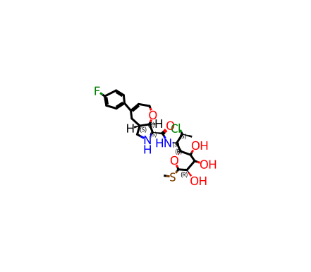 CSC1O[C@H]([C@H](NC(=O)[C@H]2NC[C@@H]3CC(c4ccc(F)cc4)=CCO[C@H]32)[C@H](C)Cl)C(O)C(O)[C@H]1O